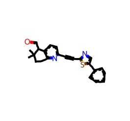 CC1(C)CCc2nc(C#Cc3ncc(-c4ccccc4)s3)ccc2C1C=O